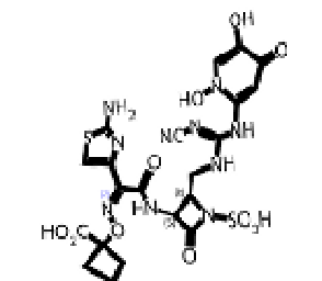 N#CN=C(NC[C@@H]1[C@H](NC(=O)/C(=N\OC2(C(=O)O)CCC2)c2csc(N)n2)C(=O)N1S(=O)(=O)O)Nc1cc(=O)c(O)cn1O